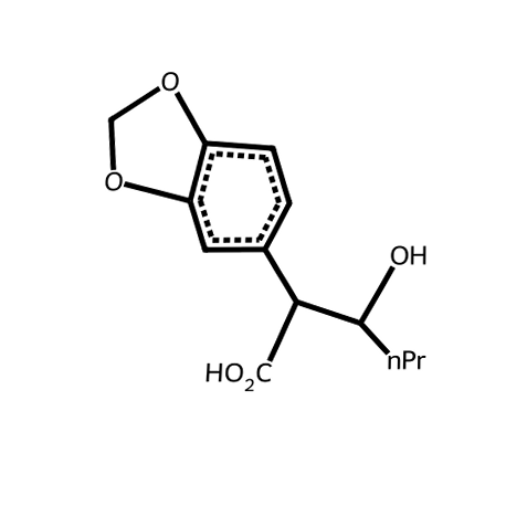 CCCC(O)C(C(=O)O)c1ccc2c(c1)OCO2